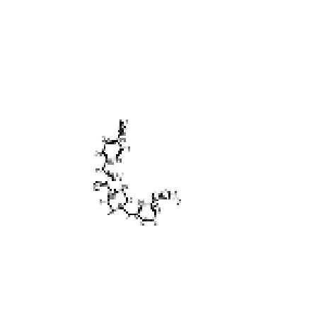 COc1cccc(CC2CCN(C(=O)NCc3ccc(C#N)cc3)CC2)c1